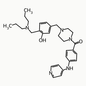 CCCN(CCC)Cc1ccc(CN2CCN(C(=O)c3ccc(Nc4ccncc4)cc3)CC2)cc1O